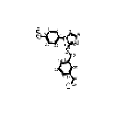 COc1ccc(-n2ccnc2SCc2cccc(CCl)c2)cc1